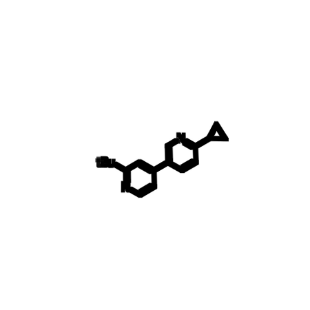 CC(C)(C)c1cc(-c2ccc(C3CC3)nc2)ccn1